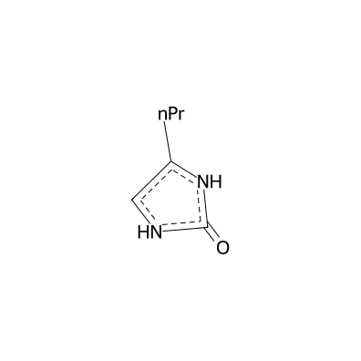 CCCc1c[nH]c(=O)[nH]1